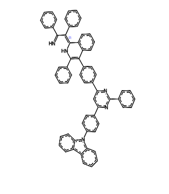 N=C(/C(=C1\NC(c2ccccc2)=C(c2ccc(-c3cc(-c4ccc(-n5c6ccccc6c6ccccc65)cc4)nc(-c4ccccc4)n3)cc2)c2ccccc21)c1ccccc1)c1ccccc1